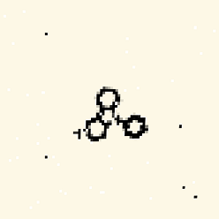 C1=C2C(=C3CNCCC3N2c2ccccc2)CCC1